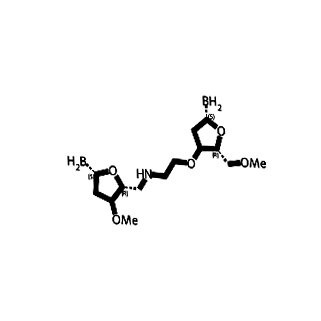 B[C@H]1CC(OC)[C@@H](CNCCOC2C[C@H](B)O[C@@H]2COC)O1